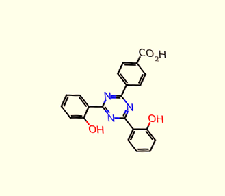 O=C(O)c1ccc(-c2nc(-c3ccccc3O)nc(-c3ccccc3O)n2)cc1